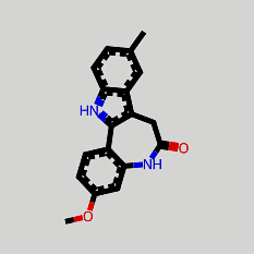 COc1ccc2c(c1)NC(=O)Cc1c-2[nH]c2ccc(C)cc12